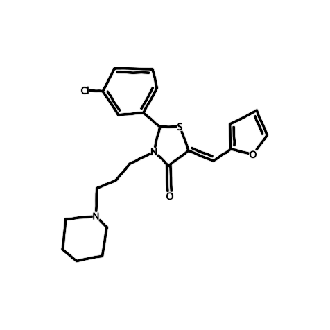 O=C1C(=Cc2ccco2)SC(c2cccc(Cl)c2)N1CCCN1CCCCC1